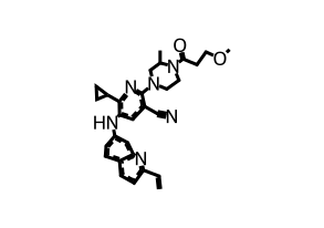 C=Cc1ccc2ccc(Nc3cc(C#N)c(N4CCN(C(=O)CCOC)C(C)C4)nc3C3CC3)cc2n1